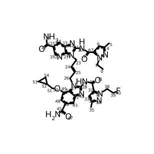 CCn1nc(C)cc1C(=O)Nc1nc2cc(C(N)=O)cnc2n1C/C=C/Cn1c(NC(=O)c2cc(C)nn2CCF)nc2cc(C(N)=O)cc(OCC3CC3)c21